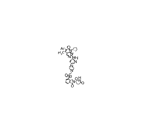 CC(=O)c1c(C)c2cnc(Nc3ccc(N4CCN(CCS(=O)(=O)c5cccc6c5CN(C5CCC(=O)NC5=O)C6=O)CC4)cn3)nc2n(C2CCCC2)c1=O